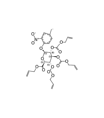 [CH2]c1ccc(O[C@@H]2O[C@H](C(=O)OCC=C)[C@@H](OC(=O)OCC=C)[C@H](OC(=O)OCC=C)[C@H]2OC(=O)OCC=C)c([N+](=O)[O-])c1